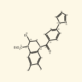 CCOC(=O)N1c2cc(C)c(C)cc2N(C(=O)c2ccc(-n3cccn3)cc2)CC1CC